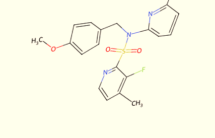 COc1ccc(CN(c2cccc(F)n2)S(=O)(=O)c2nccc(C)c2F)cc1